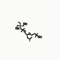 CCC(CO)(CO)CC(C)(C)OCC(CC(C)C)OCCC(C)(C)O